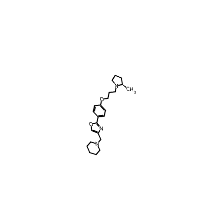 C[C@@H]1CCCN1CCCOc1ccc(-c2nc(CN3CCCCC3)co2)cc1